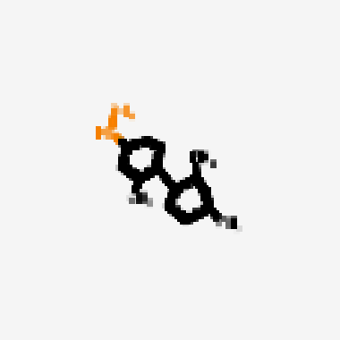 Cc1ccc(-c2ccc(PP)cc2C)c(C)c1